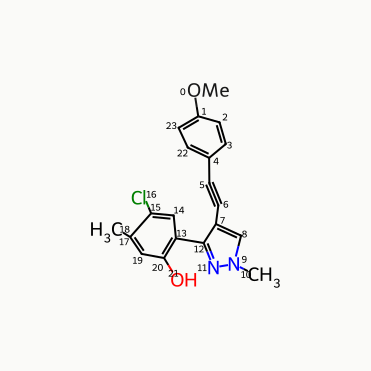 COc1ccc(C#Cc2cn(C)nc2-c2cc(Cl)c(C)cc2O)cc1